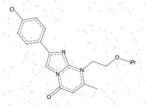 Cc1cc(=O)n2cc(-c3ccc(Cl)cc3)nc2n1CCOC(C)C